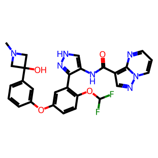 CN1CC(O)(c2cccc(Oc3ccc(OC(F)F)c(-c4n[nH]cc4NC(=O)c4cnn5cccnc45)c3)c2)C1